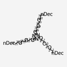 CCCCCCCCCCCCOCCOCCOc1nc(OCCOCCOCCCCCCCCCCCC)nc(OCCOCCOCCCCCCCCCCCC)n1